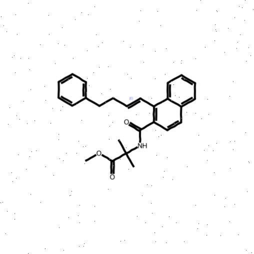 COC(=O)C(C)(C)NC(=O)c1ccc2ccccc2c1/C=C/CCc1ccccc1